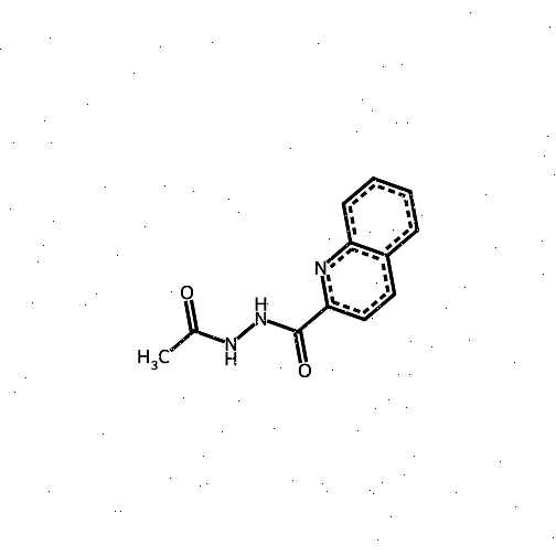 CC(=O)NNC(=O)c1ccc2ccccc2n1